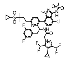 Cn1nc(NS(C)(=O)=O)c2c(Cl)ccc(-c3ccc(CCC(C)(C)S(=O)(=O)C4CC4)nc3[C@H](Cc3cc(F)cc(F)c3)NC(=O)Cn3nc(C(F)F)c(C4CC4)c3C(F)F)c21